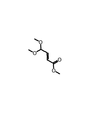 COC(=O)C=CC(OC)OC